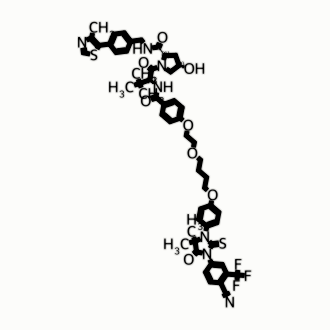 Cc1ncsc1-c1ccc(CNC(=O)[C@@H]2C[C@@H](O)CN2C(=O)[C@@H](NC(=O)c2ccc(OCCOCCCCOc3ccc(N4C(=S)N(c5ccc(C#N)c(C(F)(F)F)c5)C(=O)C4(C)C)cc3)cc2)C(C)(C)C)cc1